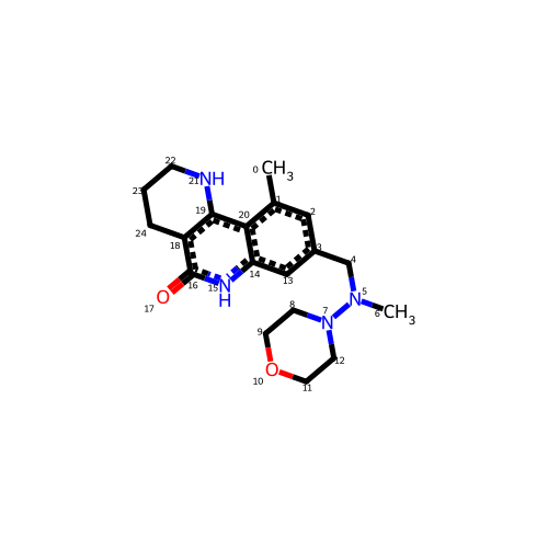 Cc1cc(CN(C)N2CCOCC2)cc2[nH]c(=O)c3c(c12)NCCC3